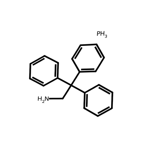 NCC(c1ccccc1)(c1ccccc1)c1ccccc1.P